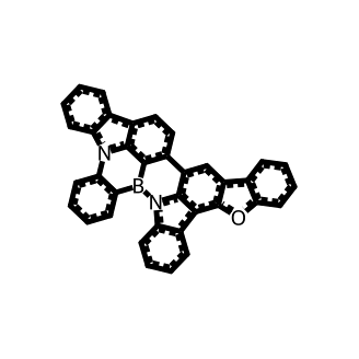 c1ccc2c(c1)B1c3c(ccc4c5ccccc5n-2c34)-c2cc3c4ccccc4oc3c3c4ccccc4n1c23